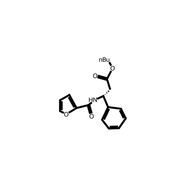 CCCCOC(=O)C[C@@H](NC(=O)c1ccco1)c1ccccc1